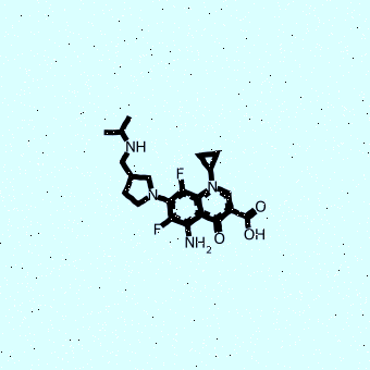 CC(C)NCC1CCN(c2c(F)c(N)c3c(=O)c(C(=O)O)cn(C4CC4)c3c2F)C1